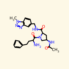 CC(=O)NC1CC(C(=O)NCc2ccc3c(c2)nnn3C)N(C(=O)C(N)CCc2ccccc2)C1